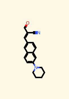 N#C/C(C=O)=C\c1ccc2cc(N3CCCCC3)ccc2c1